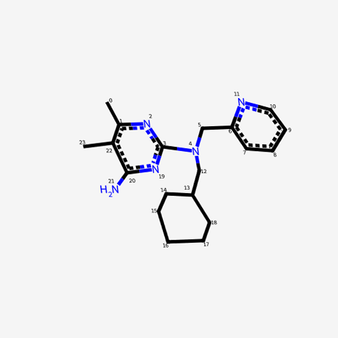 Cc1nc(N(Cc2ccccn2)CC2CCCCC2)nc(N)c1C